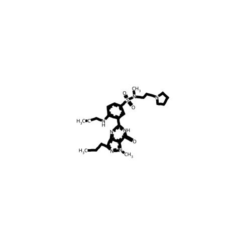 CCCNc1ccc(S(=O)(=O)N(C)CCN2CCCC2)cc1-c1nc2c(CCC)nn(C)c2c(=O)[nH]1